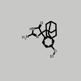 CCOc1ccc(C2(C34CC5CC(CC(C5)C3)C4)N=C(N)NC2=O)cc1